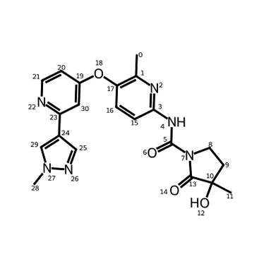 Cc1nc(NC(=O)N2CCC(C)(O)C2=O)ccc1Oc1ccnc(-c2cnn(C)c2)c1